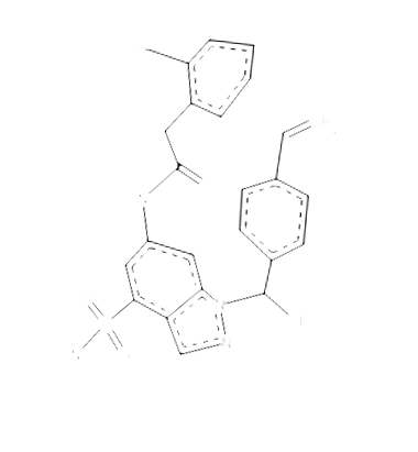 C=Cc1ccc(C(C)n2ncc3c(S(N)(=O)=O)cc(NC(=O)Cc4ccccc4Cl)cc32)cc1